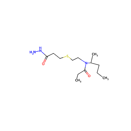 CCCC(C)N(CCSCCC(=O)NN)C(=O)CC